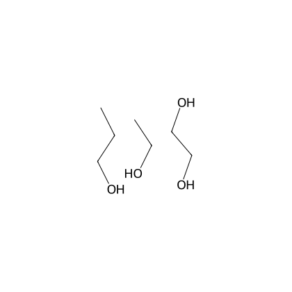 CCCO.CCO.OCCO